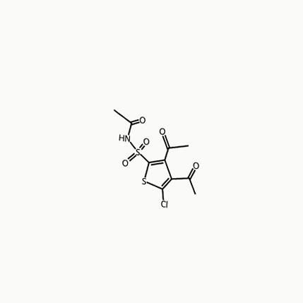 CC(=O)NS(=O)(=O)c1sc(Cl)c(C(C)=O)c1C(C)=O